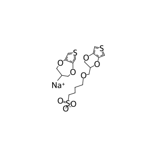 CC1COc2cscc2OC1.O=S(=O)([O-])CCCCOCC1COc2cscc2O1.[Na+]